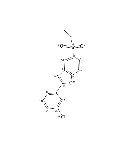 CCS(=O)(=O)c1ccc2oc(-c3cccc(Cl)c3)nc2c1